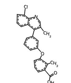 Cc1cnc2c(Cl)cccc2c1-c1cccc(Oc2cccc(C(=O)O)c2C)c1